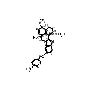 Cc1ccc(COc2ccc3nc4n(c3c2)CC2(C)C=CC(C)(OC(F)(F)F)C3=C2[C@@H]4[C@@H](C(=O)O)CC3)nc1